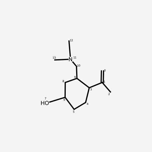 C=C(C)C1CCC(O)CC1CN(C)C